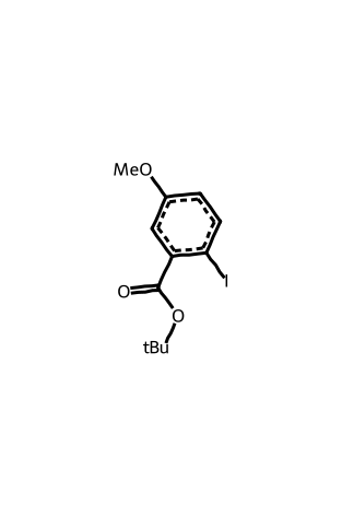 COc1ccc(I)c(C(=O)OC(C)(C)C)c1